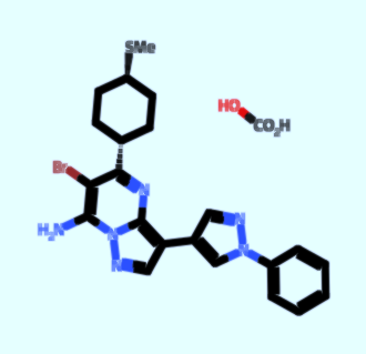 CS[C@H]1CC[C@H](c2nc3c(-c4cnn(-c5ccccc5)c4)cnn3c(N)c2Br)CC1.O=C(O)O